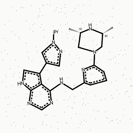 CC(C)n1cc(-c2c[nH]c3ncnc(NCc4cccc(N5C[C@@H](C)N[C@@H](C)C5)n4)c23)cn1